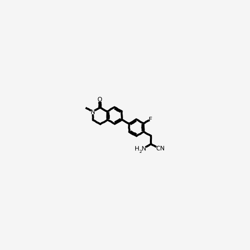 CN1CCc2cc(-c3ccc(CC(N)C#N)c(F)c3)ccc2C1=O